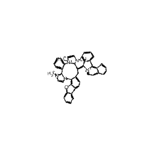 CN1C=CN2c3c(ccc4c3oc3ccccc34)C/C(=C3/c4ccccc4-c4c5ccccc5cc[n+]43)C3N(C)C=C[N+]3(C)c3ccccc3C12